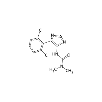 CN(C)C(=O)Nc1nsnc1-c1c(Cl)cccc1Cl